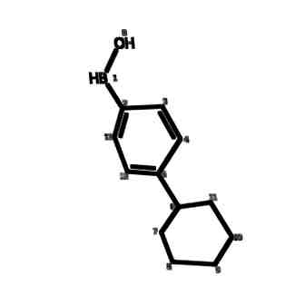 OBc1ccc(C2CCCCC2)cc1